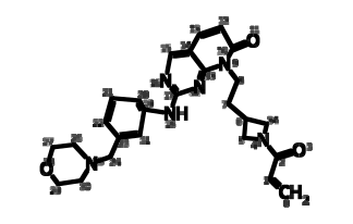 C=CC(=O)N1CC(CCn2c(=O)ccc3cnc(Nc4cccc(CN5CCOCC5)c4)nc32)C1